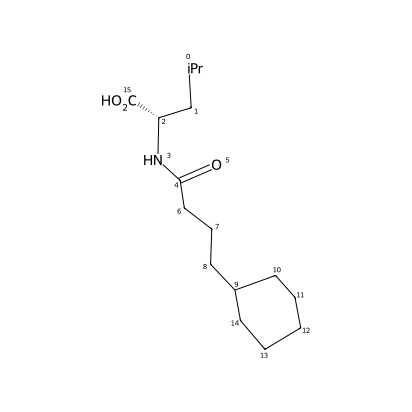 CC(C)C[C@H](NC(=O)CCCC1CCCCC1)C(=O)O